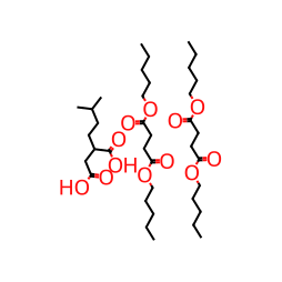 CC(C)CCC(CC(=O)O)C(=O)O.CCCCCOC(=O)CCC(=O)OCCCCC.CCCCCOC(=O)CCC(=O)OCCCCC